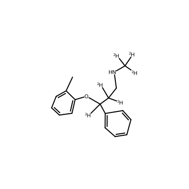 [2H]C([2H])([2H])NCC([2H])([2H])C([2H])(Oc1ccccc1C)c1ccccc1